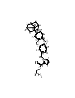 CCOC(=O)c1cccn1Cc1ccc(Nc2ccc(C34CC5CC(CC(C5)C3)C4)cc2Cl)cc1